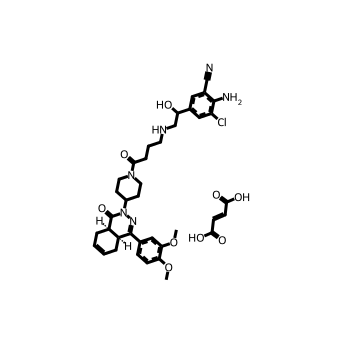 COc1ccc(C2=NN(C3CCN(C(=O)CCCNCC(O)c4cc(Cl)c(N)c(C#N)c4)CC3)C(=O)[C@@H]3CC=CC[C@H]23)cc1OC.O=C(O)/C=C/C(=O)O